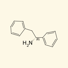 N[C@H](Cc1ccccc1)c1ccccc1